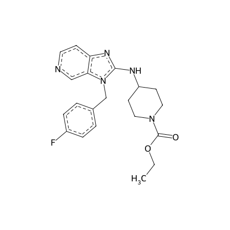 CCOC(=O)N1CCC(Nc2nc3ccncc3n2Cc2ccc(F)cc2)CC1